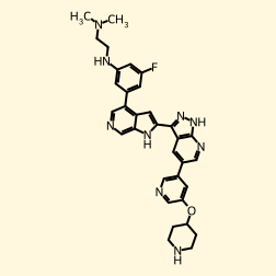 CN(C)CCNc1cc(F)cc(-c2cncc3[nH]c(-c4n[nH]c5ncc(-c6cncc(OC7CCNCC7)c6)cc45)cc23)c1